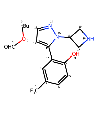 CC(C)(C)OC=O.Oc1ccc(C(F)(F)F)cc1-c1ccnn1C1CNC1